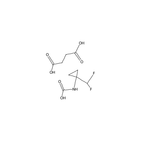 O=C(O)CCC(=O)O.O=C(O)NC1(C(F)F)CC1